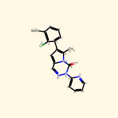 COc1cccc(-c2cc3cnn(-c4ccccn4)c(=O)n3c2C)c1Cl